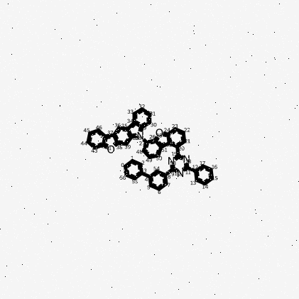 c1ccc(-c2cccc(-c3nc(-c4ccccc4)nc(-c4cccc5oc6c(-n7c8ccccc8c8cc9c(cc87)oc7ccccc79)cccc6c45)n3)c2)cc1